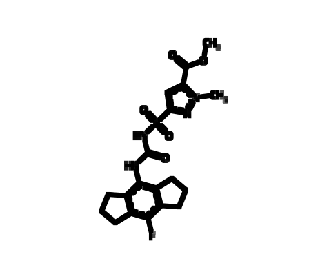 COC(=O)c1cc(S(=O)(=O)NC(=O)Nc2c3c(c(F)c4c2CCC4)CCC3)nn1C